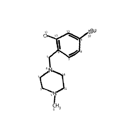 CN1CCN(Cc2ccc(C(C)(C)C)cc2Cl)CC1